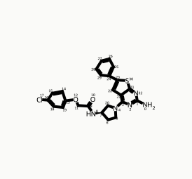 Nc1nc(N2CC[C@@H](NC(=O)COc3ccc(Cl)cc3)C2)c2cc(-c3ccccc3)sc2n1